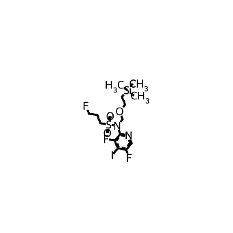 C[Si](C)(C)CCOCN(c1ncc(F)c(I)c1F)S(=O)(=O)CCCF